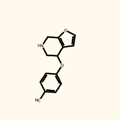 N#Cc1ccc(OC2CNCc3occc32)cc1